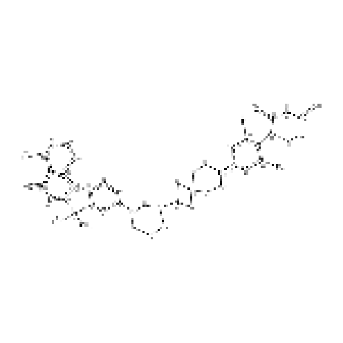 CC1(C)c2cc(C3CCCC(N4CC5(CCN(c6cc(F)c(C7CCC(=O)NC7=O)c(F)c6)CC5)C4)C3)ccc2-n2c1nc(=O)c1c(Cl)cccc12